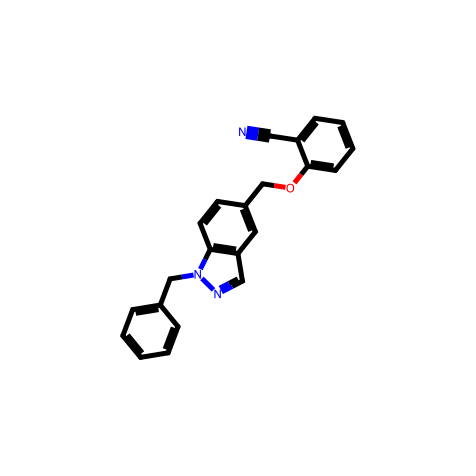 N#Cc1ccccc1OCc1ccc2c(cnn2Cc2ccccc2)c1